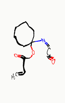 C=CC(=O)OC1(N=C=O)CCCCC1